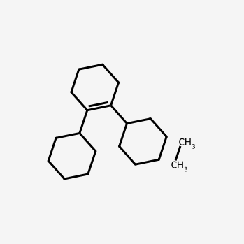 C1CCC(C2=C(C3CCCCC3)CCCC2)CC1.CC